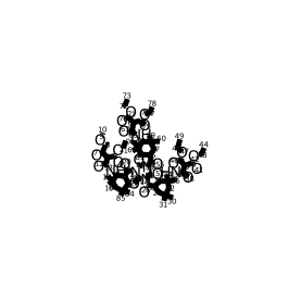 CCOC(=O)C(C(=O)COC)C(=O)NCC1(C)CC(C(=O)n2c(=O)n(C(=O)C3CC(C)(C)CC(C)(CNC(=O)C(C(=O)OCC)C(=O)OCC)C3)c(=O)n(C(=O)C3CC(C)(C)CC(C)(CNC(=O)C(C(=O)OCC)C(=O)OCC)C3)c2=O)CC(C)(C)C1